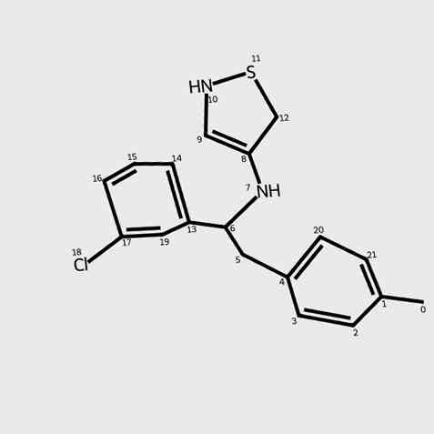 Cc1ccc(CC(NC2=CNSC2)c2cccc(Cl)c2)cc1